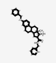 C[C@]12CCC3c4ccc(OCc5ccccc5)cc4CCC3C1CC(C(=O)NCc1ccccn1)[C@@H]2O